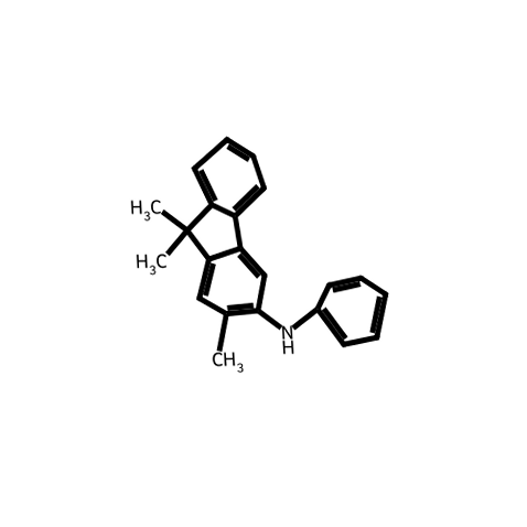 Cc1cc2c(cc1Nc1ccccc1)-c1ccccc1C2(C)C